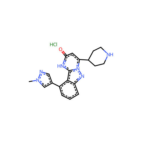 Cl.Cn1cc(-c2cccc3nn4c(C5CCNCC5)cc(=O)[nH]c4c23)cn1